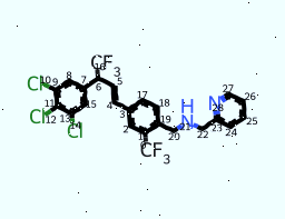 FC(F)(F)c1cc(/C=C/C(c2cc(Cl)c(Cl)c(Cl)c2)C(F)(F)F)ccc1CNCc1ccccn1